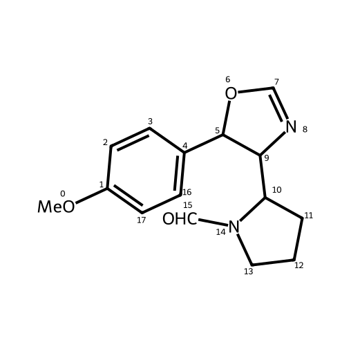 COc1ccc(C2OC=NC2C2CCCN2C=O)cc1